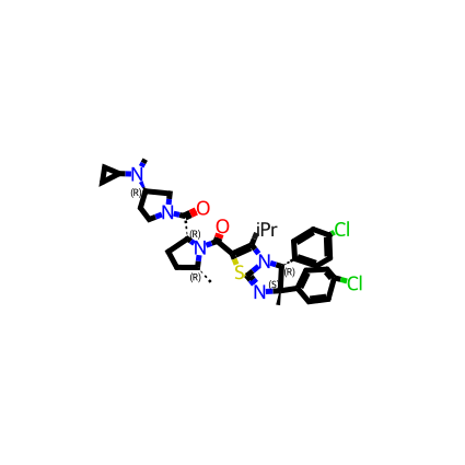 CC(C)C1=C(C(=O)N2[C@H](C)CC[C@@H]2C(=O)N2CC[C@@H](N(C)C3CC3)C2)SC2=N[C@@](C)(c3ccc(Cl)cc3)[C@@H](c3ccc(Cl)cc3)N21